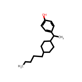 CCCCCC1CCC(C(C)c2ccc(O)cc2)CC1